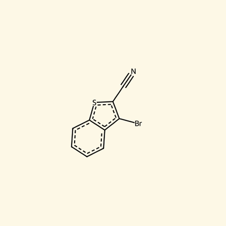 N#Cc1sc2ccccc2c1Br